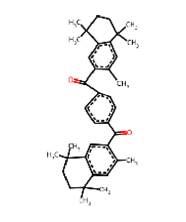 Cc1cc2c(cc1C(=O)c1ccc(C(=O)c3cc4c(cc3C)C(C)(C)CCC4(C)C)cc1)C(C)(C)CCC2(C)C